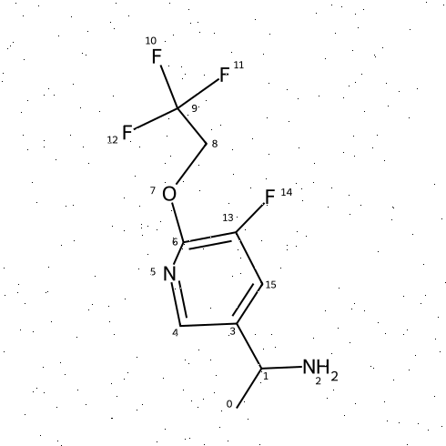 CC(N)c1cnc(OCC(F)(F)F)c(F)c1